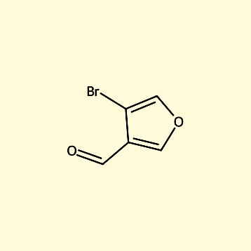 O=Cc1cocc1Br